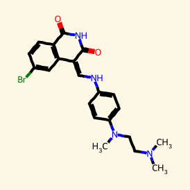 CN(C)CCN(C)c1ccc(NC=C2C(=O)NC(=O)c3ccc(Br)cc32)cc1